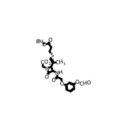 CCC(C)OC(=O)CCSC=C(C)C1C(NC(=O)COc2cccc(OC=O)c2)C(=O)N1CC(=O)O